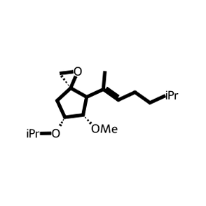 CO[C@H]1C(/C(C)=C/CCC(C)C)[C@@]2(CO2)C[C@H]1OC(C)C